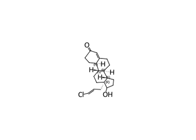 O=C1C=C2CC[C@@H]3[C@H](CC[C@]4(CC=CCl)C(O)CC[C@@H]34)[C@H]2CC1